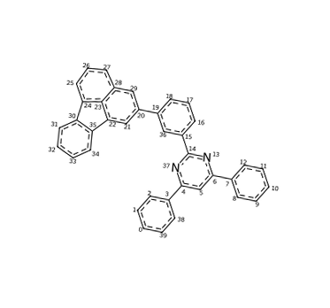 c1ccc(-c2cc(-c3ccccc3)nc(-c3cccc(-c4cc5c6c(cccc6c4)-c4ccccc4-5)c3)n2)cc1